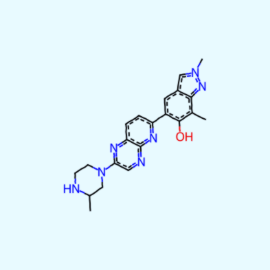 Cc1c(O)c(-c2ccc3nc(N4CCNC(C)C4)cnc3n2)cc2cn(C)nc12